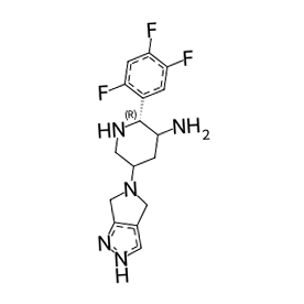 NC1CC(N2Cc3c[nH]nc3C2)CN[C@@H]1c1cc(F)c(F)cc1F